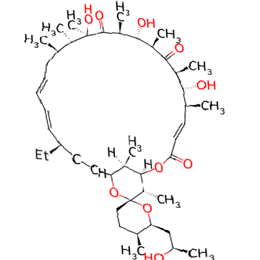 CC[C@H]1/C=C/C=C/C[C@@H](C)[C@H](C)[C@@](C)(O)C(=O)[C@@H](C)[C@H](O)[C@@H](C)C(=O)[C@@H](C)[C@H](O)[C@@H](C)/C=C/C(=O)O[C@@H]2[C@H](C)[C@H](CC1)O[C@]1(CC[C@H](C)[C@H](C[C@@H](C)O)O1)[C@H]2C